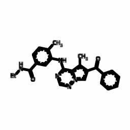 CCNC(=O)c1ccc(C)c(Nc2ncnn3cc(C(=O)c4ccccc4)c(C)c23)c1